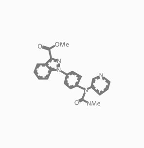 CNC(=O)N(c1ccc(-n2nc(C(=O)OC)c3ccccc32)cc1)c1cccnc1